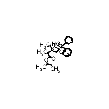 CCC(C)OC(=O)[C@H](C)C(CC)CC(C)(C)[Si](O)(c1ccccc1)c1ccccc1